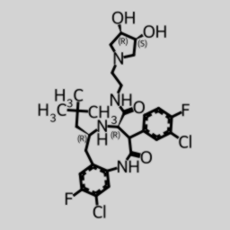 CC(C)(C)C[C@@H]1Cc2cc(F)c(Cl)cc2NC(=O)C(c2ccc(F)c(Cl)c2)[C@H](C(=O)NCCN2C[C@@H](O)[C@@H](O)C2)N1